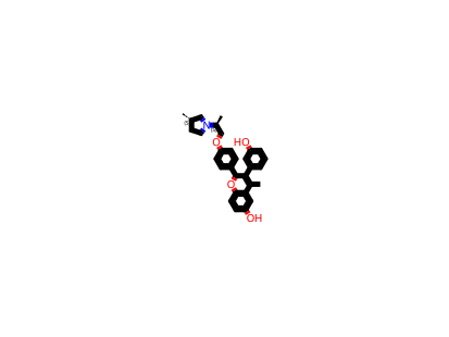 CC1=C(c2cccc(O)c2)C(c2ccc(OC[C@H](C)N3CC[C@H](C)C3)cc2)Oc2ccc(O)cc21